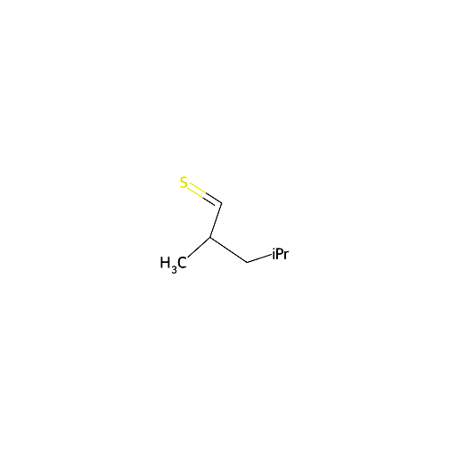 CC(C)CC(C)C=S